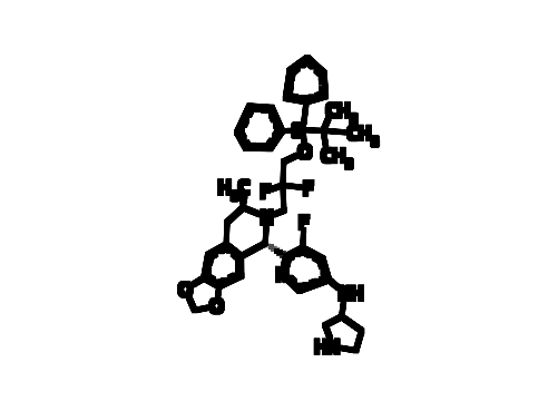 C[C@@H]1Cc2cc3c(cc2[C@@H](c2ncc(NC4CCNC4)cc2F)N1CC(F)(F)CO[Si](c1ccccc1)(c1ccccc1)C(C)(C)C)OCO3